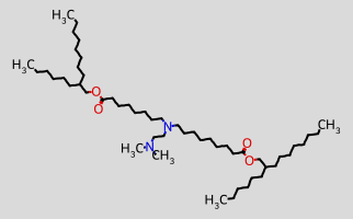 CCCCCCCCC(CCCCCC)COC(=O)CCCCCCCCN(CCCCCCCC(=O)OCC(CCCCCC)CCCCCCCC)CCN(C)C